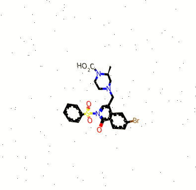 C[C@H]1CN(Cc2cn(S(=O)(=O)c3ccccc3)c(=O)c3ccc(Br)cc23)CCN1C(=O)O